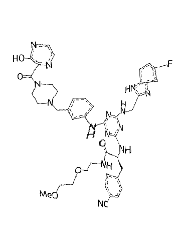 COCCOCCNC(=O)[C@H](Cc1ccc(C#N)cc1)Nc1nc(NCc2nc3cc(F)ccc3[nH]2)nc(Nc2cccc(CN3CCN(C(=O)c4nccnc4O)CC3)c2)n1